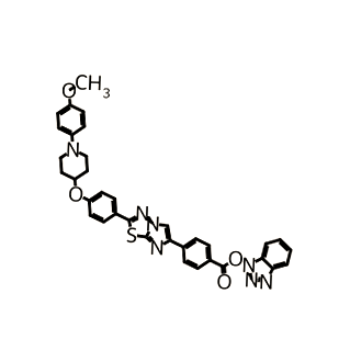 COc1ccc(N2CCC(Oc3ccc(-c4nn5cc(-c6ccc(C(=O)On7nnc8ccccc87)cc6)nc5s4)cc3)CC2)cc1